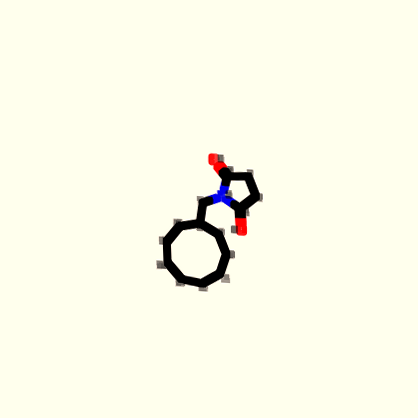 O=C1CCC(=O)N1CC1CCCCCCCC1